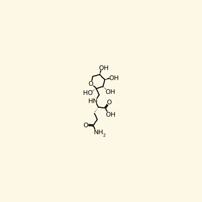 NC(=O)CC[C@H](NC[C@@]1(O)OC[C@@H](O)[C@@H](O)[C@@H]1O)C(=O)O